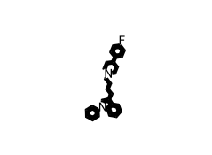 Fc1ccc(C2CCN(CCCCc3cn(-c4ccccc4)c4ccccc34)CC2)cc1